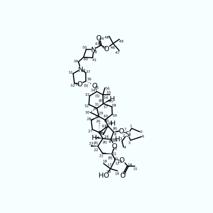 CC[Si](CC)(CC)O[C@H]1[C@H]2O[C@@H]([C@H](OC(C)=O)C(C)(C)O)C[C@@H](C)[C@@H]2[C@@]2(C)CC[C@@]34C[C@@]35CC[C@H](O[C@H]3CN(CC6CN(C(=O)OC(C)(C)C)C6)CCO3)C(C)(C)[C@@H]5CC[C@H]4[C@]12C